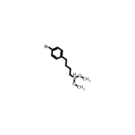 CO[SiH](CCCCc1ccc(Br)cc1)OC